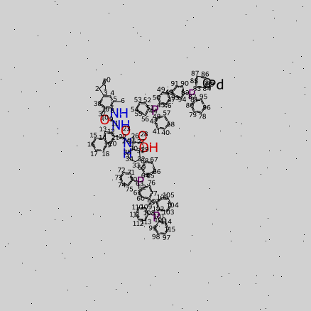 C#CCc1cc(C)c(NC(=O)Nc2cc3ccccc3cc2C(=O)NC(C)(C(=O)O)C2CCCCC2)c(C)c1.[Pd].c1ccc(P(c2ccccc2)c2ccccc2)cc1.c1ccc(P(c2ccccc2)c2ccccc2)cc1.c1ccc(P(c2ccccc2)c2ccccc2)cc1.c1ccc(P(c2ccccc2)c2ccccc2)cc1